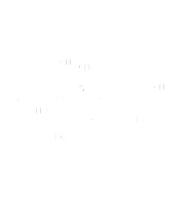 CCC(C)C(O)(C(=O)O)N(C)C(=O)CC(C)C